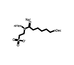 CCCCCCCCCCCCCCCC(=O)N(CCCCCC)CCS(=O)(=O)[O-].[Na+]